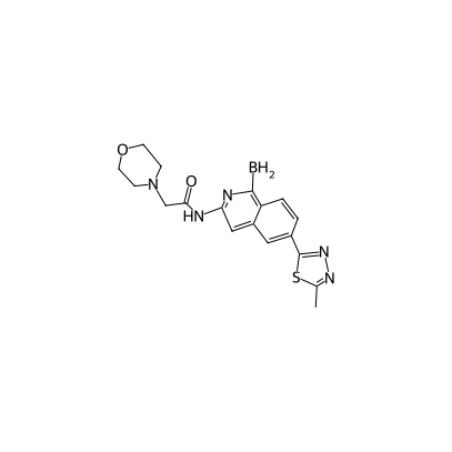 Bc1nc(NC(=O)CN2CCOCC2)cc2cc(-c3nnc(C)s3)ccc12